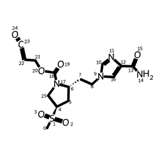 CS(=O)(=O)[C@@H]1C[C@@H](CCn2cnc(C(N)=O)c2)N(C(=O)OCC=C=O)C1